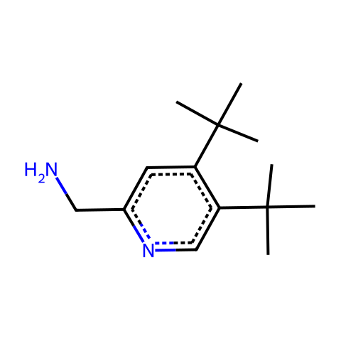 CC(C)(C)c1cnc(CN)cc1C(C)(C)C